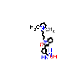 C[C@@H]1CCC[C@H](C)N1CCCCCn1c(=O)c(-c2cccc(C(=N)NO)c2)cc2ccccc21